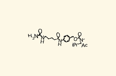 CC(=O)C(C(C)C)N(C)C(=O)OCc1ccc(NC(=O)CCCCNC(N)=O)cc1